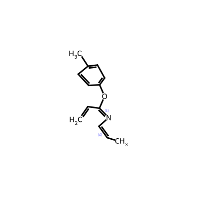 C=C/C(=N\C=C/C)Oc1ccc(C)cc1